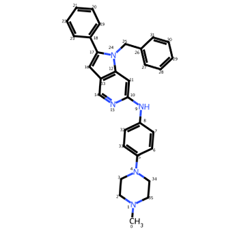 CN1CCN(c2ccc(Nc3cc4c(cn3)cc(-c3ccccc3)n4Cc3ccccc3)cc2)CC1